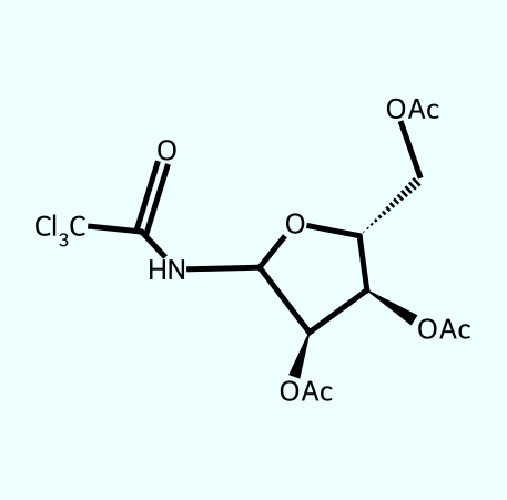 CC(=O)OC[C@H]1OC(NC(=O)C(Cl)(Cl)Cl)[C@H](OC(C)=O)[C@@H]1OC(C)=O